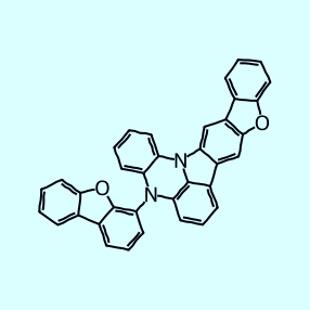 c1ccc2c(c1)N(c1cccc3c1oc1ccccc13)c1cccc3c4cc5oc6ccccc6c5cc4n-2c13